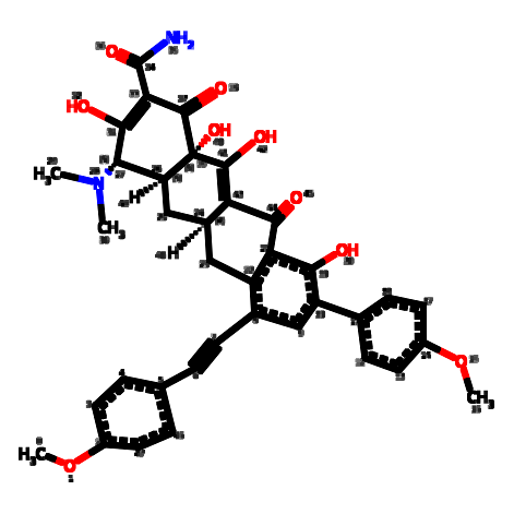 COc1ccc(C#Cc2cc(-c3ccc(OC)cc3)c(O)c3c2C[C@H]2C[C@H]4[C@H](N(C)C)C(O)=C(C(N)=O)C(=O)[C@@]4(O)C(O)=C2C3=O)cc1